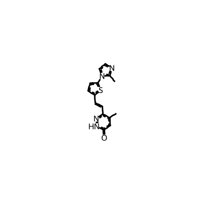 Cc1cc(=O)[nH]nc1/C=C/c1ccc(-n2ccnc2C)s1